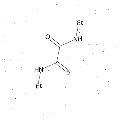 CCNC(=O)C(=S)NCC